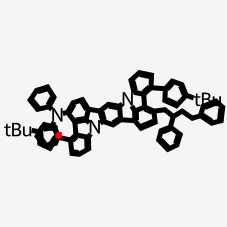 CC(C)(C)c1ccc(-c2cccc3c2c2c(CC(CCc4ccccc4)c4ccccc4)ccc4c5cc6c(cc5n3c42)c2ccc(N(c3ccccc3)c3ccccc3)c3c4c(-c5ccc(C(C)(C)C)cc5)cccc4n6c23)cc1